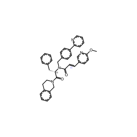 COc1ccc(/C=C/C(=O)N(Cc2ccc(-c3ccccn3)cc2)[C@@H](Cc2ccccc2)C(=O)N2CCc3ccccc3C2)cn1